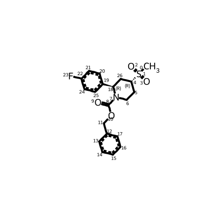 CS(=O)(=O)[C@@H]1CCN(C(=O)OCc2ccccc2)[C@@H](c2ccc(F)cc2)C1